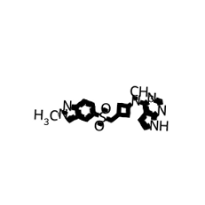 CN(c1ncnc2[nH]ccc12)C1CC(CS(=O)(=O)c2ccc3nn(C)cc3c2)C1